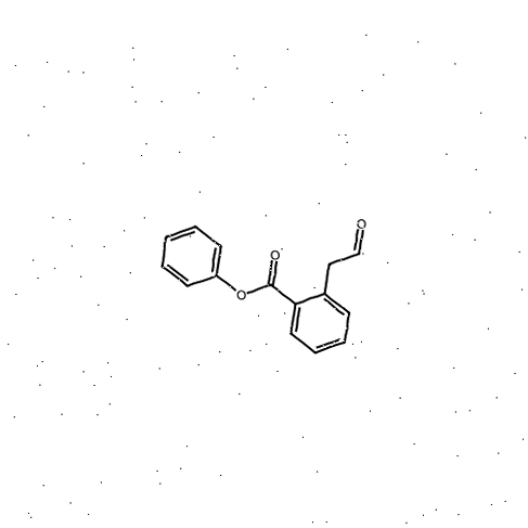 O=[C]Cc1ccccc1C(=O)Oc1ccccc1